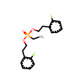 CCP(=O)(OCCc1ccccc1F)OCCc1ccccc1F